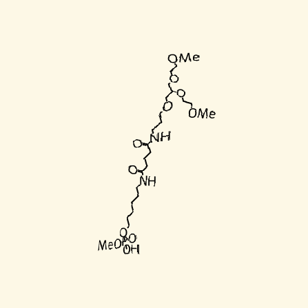 COCCOCC(COCCCNC(=O)CCCC(=O)NCCCCCCOP(=O)(O)OC)OCCOC